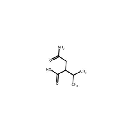 CC(C)C(CC(N)=O)C(=O)O